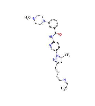 C\C=N/C=C\C=C\c1cc(C(F)(F)F)n(-c2ccc(NC(=O)c3cccc(N4CCN(C)CC4)c3)nc2)n1